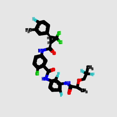 CC(OCC(C)(F)F)C(=O)Nc1c(F)ccc(NC(=O)c2cc(NC(=O)[C@H]3[C@H](c4ccc(F)c(C(F)(F)F)c4)C3(Cl)Cl)ccc2Cl)c1F